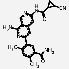 Cc1cc(C)c(-c2cc3cc(NC(=O)C4CC4C#N)ncc3c(N)n2)cc1C(N)=O